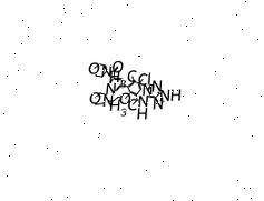 Cc1c(Cl)cc(C(C)Nc2ncnc3[nH]cnc23)c(OCCN2CCOCC2)c1-c1cncc(C(=O)N2CCOCC2)c1